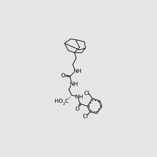 O=C(NCCC12CC3CC(CC(C3)C1)C2)NC[C@H](NC(=O)c1c(Cl)cccc1Cl)C(=O)O